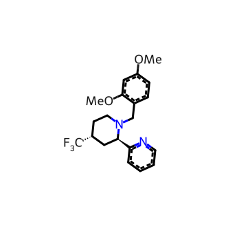 COc1ccc(CN2CC[C@@H](C(F)(F)F)C[C@@H]2c2ccccn2)c(OC)c1